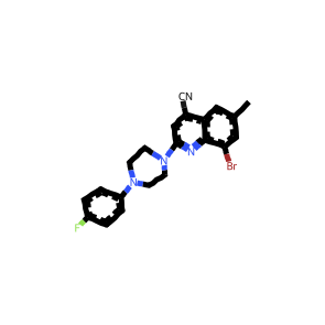 Cc1cc(Br)c2nc(N3CCN(c4ccc(F)cc4)CC3)cc(C#N)c2c1